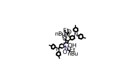 CCCCC(CC)C(=O)/N=C1\C=C(N(c2ccc(C)cc2)c2ccc(C)cc2)C=C\C1=C1/C(=O)C(c2ccc(N(c3ccc(C)cc3)c3ccc(C)cc3)cc2NC(=O)C(CC)CCCC)=C1O